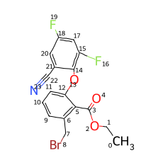 CCOC(=O)c1c(CBr)cccc1Oc1c(F)cc(F)cc1C#N